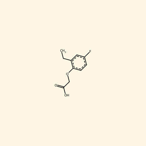 CCc1cc(F)ccc1OCC(=O)O